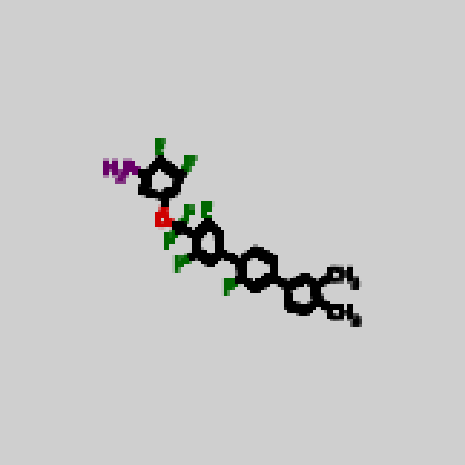 Cc1ccc(-c2ccc(-c3cc(F)c(C(F)(F)Oc4cc(F)c(F)c(P)c4)c(F)c3)c(F)c2)cc1C